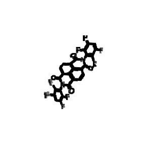 O=C1c2ccc3c4c(ccc(c24)C(=O)N1c1c(F)c(F)cc(F)c1F)C(=O)N(c1c(F)c(F)cc(F)c1F)C3=O